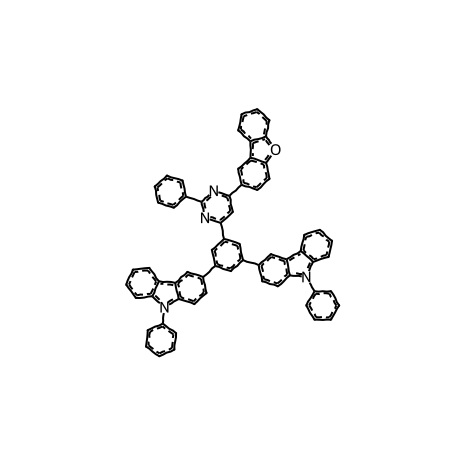 c1ccc(-c2nc(-c3cc(-c4ccc5c(c4)c4ccccc4n5-c4ccccc4)cc(-c4ccc5c(c4)c4ccccc4n5-c4ccccc4)c3)cc(-c3ccc4oc5ccccc5c4c3)n2)cc1